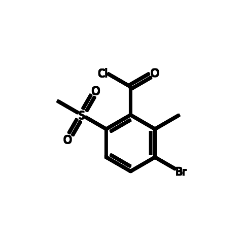 Cc1c(Br)ccc(S(C)(=O)=O)c1C(=O)Cl